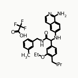 CCOc1cc(C(Nc2ccc3c(N)nccc3c2)C(=O)NCc2cccc(C)c2)ccc1CC(C)C.O=C(O)C(F)(F)F